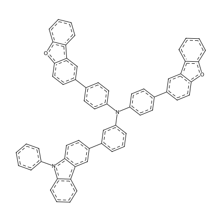 c1ccc(-n2c3ccccc3c3cc(-c4cccc(N(c5ccc(-c6ccc7oc8ccccc8c7c6)cc5)c5ccc(-c6ccc7oc8ccccc8c7c6)cc5)c4)ccc32)cc1